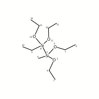 CCO[Si](C)(OCC)[Si](CC)(OCC)OCC